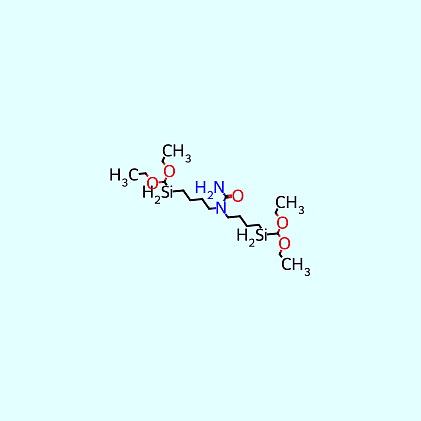 CCOC(OCC)[SiH2]CCCCN(CCCC[SiH2]C(OCC)OCC)C(N)=O